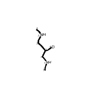 CNCC(Cl)CNC